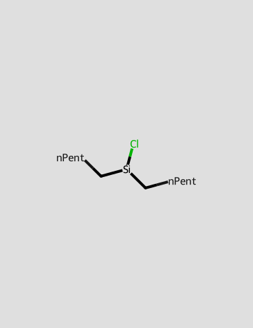 CCCCCC[Si](Cl)CCCCCC